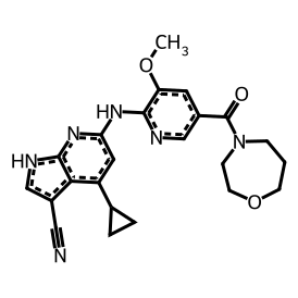 COc1cc(C(=O)N2CCCOCC2)cnc1Nc1cc(C2CC2)c2c(C#N)c[nH]c2n1